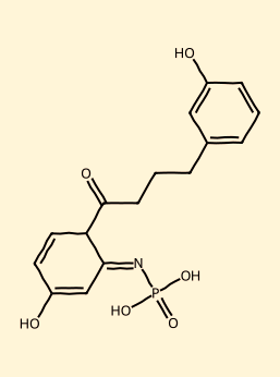 O=C(CCCc1cccc(O)c1)C1C=CC(O)=CC1=NP(=O)(O)O